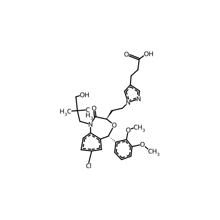 COc1cccc([C@H]2O[C@H](CCn3cc(CCC(=O)O)cn3)C(=O)N(CC(C)(C)CO)c3ccc(Cl)cc32)c1OC